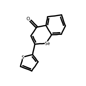 O=c1cc(-c2cccs2)[se]c2ccccc12